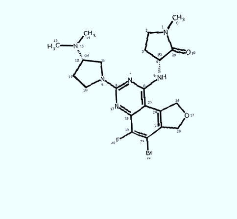 CN1CC[C@@H](Nc2nc(N3CC[C@H](N(C)C)C3)nc3c(F)c(Br)c4c(c23)COC4)C1=O